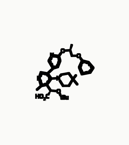 Cc1ncc(-c2ccc(O[C@@H](C)COc3ccccc3)nc2)c(N2CCC(C)(C)CC2)c1[C@H](OC(C)(C)C)C(=O)O